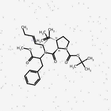 C=C(C)[C@@H]1CCN(C(=O)OC(C)(C)C)[C@H]1C(=O)N(C(Cc1ccccc1)C(=O)OC)[C@H](/C=C/CC)CC